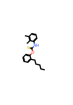 CCCCCc1ccccc1OC(=S)Nc1cccc(C)c1C